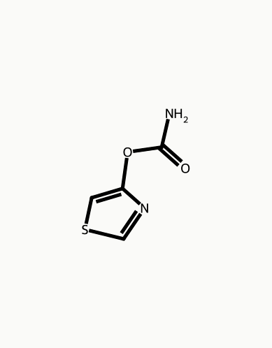 NC(=O)Oc1cscn1